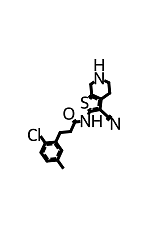 Cc1ccc(Cl)c(CCC(=O)Nc2sc3c(c2C#N)CCNC3)c1